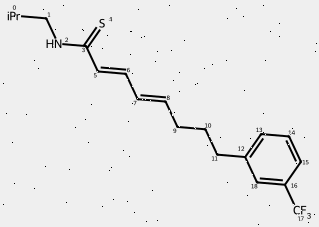 CC(C)CNC(=S)C=CC=CCCCc1cccc(C(F)(F)F)c1